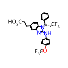 O=C(O)CCc1ccc2c(c1)nc(Nc1ccc(OC(F)(F)F)cc1)n2[C@@H](CC(F)(F)F)c1ccccc1